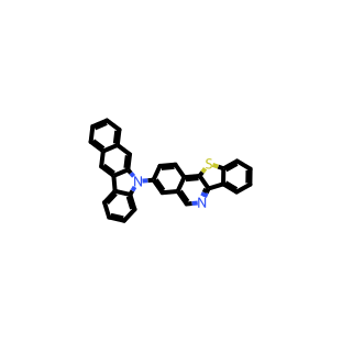 c1ccc2cc3c(cc2c1)c1ccccc1n3-c1ccc2c(cnc3c4ccccc4sc23)c1